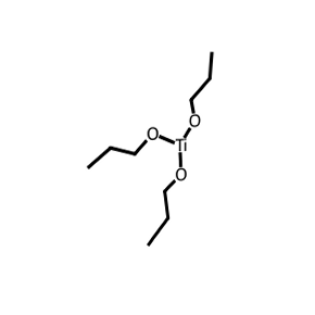 CCC[O][Ti]([O]CCC)[O]CCC